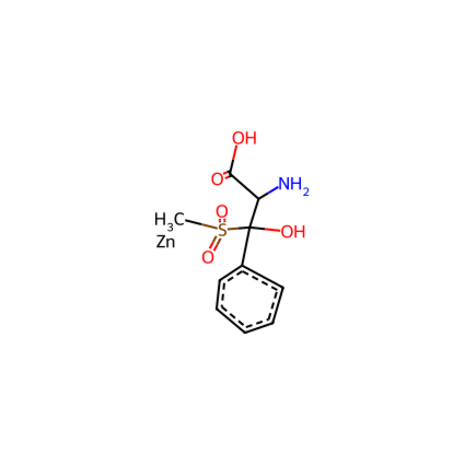 CS(=O)(=O)C(O)(c1ccccc1)C(N)C(=O)O.[Zn]